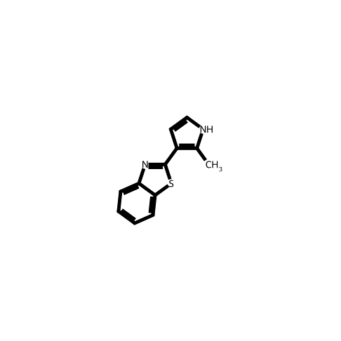 Cc1[nH]ccc1-c1nc2ccccc2s1